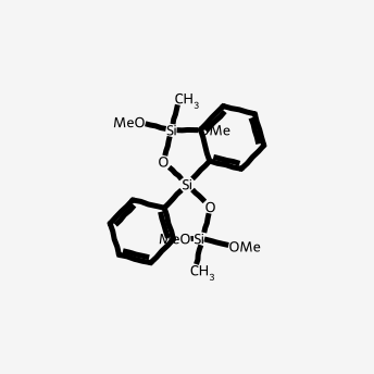 CO[Si](C)(OC)O[Si](O[Si](C)(OC)OC)(c1ccccc1)c1ccccc1